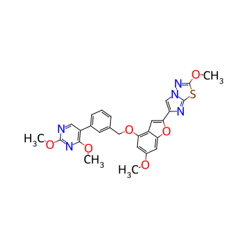 COc1cc(OCc2cccc(-c3cnc(OC)nc3OC)c2)c2cc(-c3cn4nc(OC)sc4n3)oc2c1